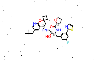 CC(C)(C)Cc1cnc2c(c1)[C@@H](NC[C@H](O)[C@H](Cc1cc(F)cc(-c3nccs3)c1)NC(=O)[C@@H]1CCCO1)CC1(CCC1)O2